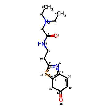 CCN(CC)CC(=O)NCCc1nc2c(s1)CC(=O)C=C2